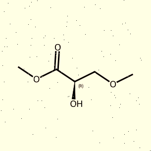 COC[C@@H](O)C(=O)OC